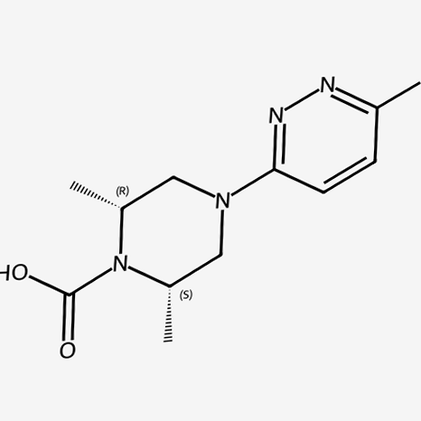 C[C@@H]1CN(c2ccc(Cl)nn2)C[C@H](C)N1C(=O)O